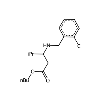 CCCCOC(=O)CC(NCc1ccccc1Cl)C(C)C